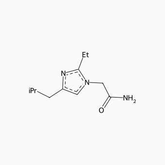 CCc1nc(CC(C)C)cn1CC(N)=O